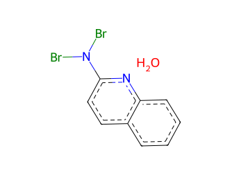 BrN(Br)c1ccc2ccccc2n1.O